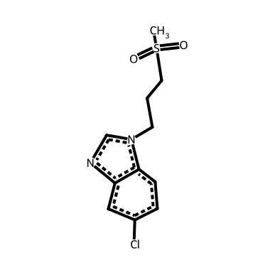 CS(=O)(=O)CCCn1cnc2cc(Cl)ccc21